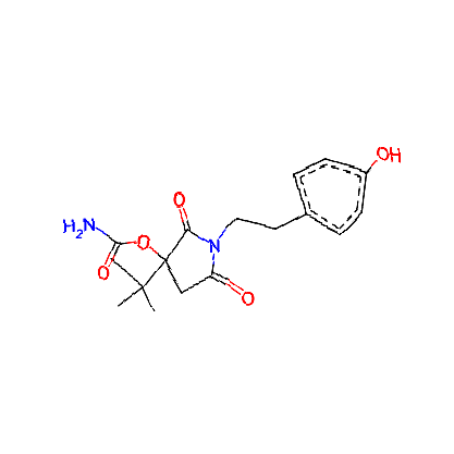 CC(C)(C)C1(OC(N)=O)CC(=O)N(CCc2ccc(O)cc2)C1=O